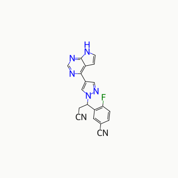 N#CCC(c1cc(C#N)ccc1F)n1cc(-c2ncnc3[nH]ccc23)cn1